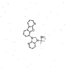 BC(C)(C)N1CN(c2cccc3c2oc2ncccc23)c2ncccc21